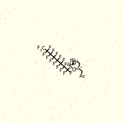 CC(=O)C[S+](CC(C)(C)C)OS(=O)(=O)C(F)(F)C(F)(F)C(F)(F)C(F)(F)C(F)(F)C(F)(F)C(F)(F)C(F)(F)F